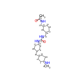 CNC1CCC(CC2CCC(NC(=O)NCC3CCCC(CNC(C)=O)C3)CC2)CC1